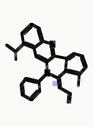 C=C/C=C1\c2c(C)cccc2-c2nc3cccc(C(C)C)c3cc2N1c1ccccc1